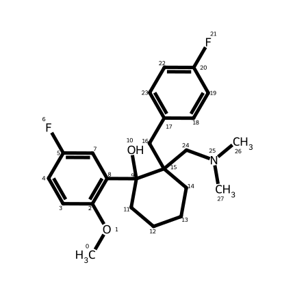 COc1ccc(F)cc1C1(O)CCCCC1(Cc1ccc(F)cc1)CN(C)C